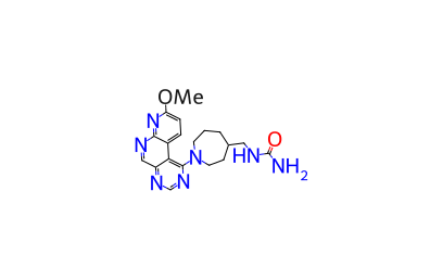 COc1ccc2c(ncc3ncnc(N4CCCC(CNC(N)=O)CC4)c32)n1